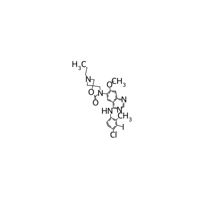 CCCN1CC2(C1)CN(c1cc3c(Nc4ccc(Cl)c(I)c4C)ncnc3cc1OC)C(=O)O2